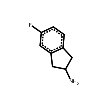 NC1Cc2ccc(F)cc2C1